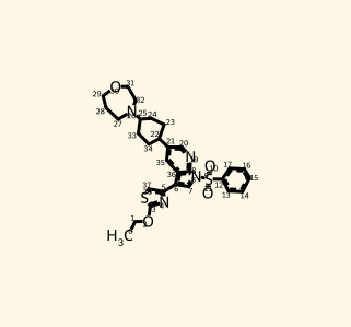 CCOc1nc(-c2cn(S(=O)(=O)c3ccccc3)c3ncc(C4CCC(N5CCCOCC5)CC4)cc23)cs1